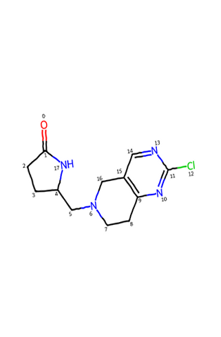 O=C1CCC(CN2CCc3nc(Cl)ncc3C2)N1